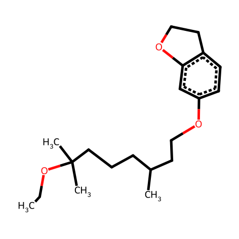 CCOC(C)(C)CCCC(C)CCOc1ccc2c(c1)OCC2